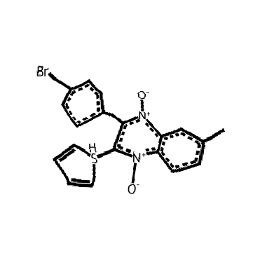 Cc1ccc2c(c1)[n+]([O-])c(-c1ccc(Br)cc1)c([SH]1C=CC=C1)[n+]2[O-]